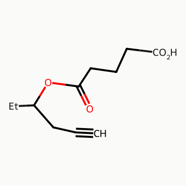 C#CCC(CC)OC(=O)CCCC(=O)O